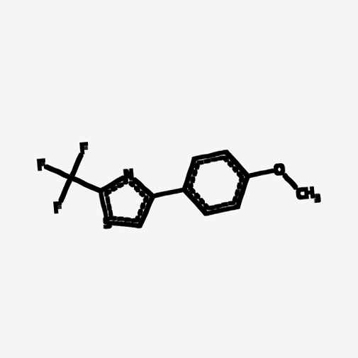 COc1ccc(-c2csc(C(F)(F)F)n2)cc1